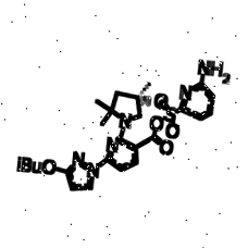 CC(C)COc1ccn(-c2ccc(C(=O)OS(=O)(=O)c3cccc(N)n3)c(N3C[C@@H](C)CC3(C)C)n2)n1